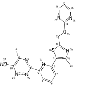 Cc1nc(-c2cccc(-c3sc(COc4ncccn4)nc3C)n2)nnc1O